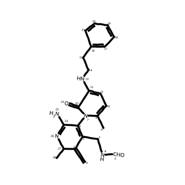 C=C1C(CNC=O)=C(n2c(C)ccc(NCCc3ccccc3)c2=O)C(N)=NC1C